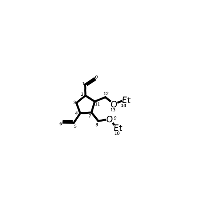 C=CC1CC(C=C)C(COCC)C1COCC